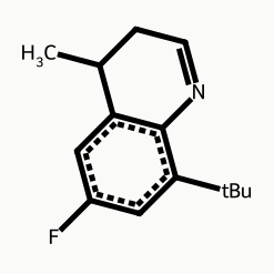 CC1CC=Nc2c1cc(F)cc2C(C)(C)C